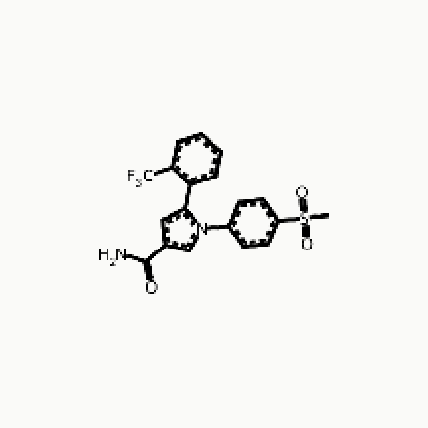 CS(=O)(=O)c1ccc(-n2cc(C(N)=O)cc2-c2ccccc2C(F)(F)F)cc1